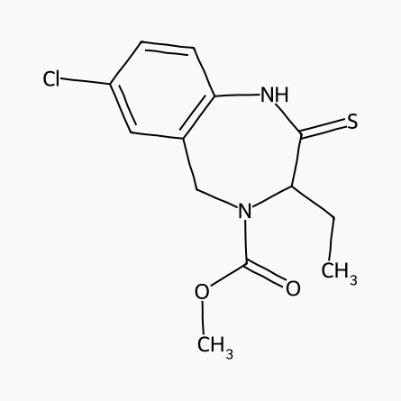 CCC1C(=S)Nc2ccc(Cl)cc2CN1C(=O)OC